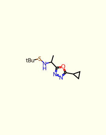 CC(NSC(C)(C)C)c1nnc(C2CC2)o1